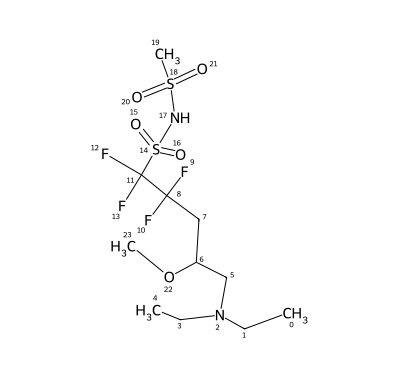 CCN(CC)CC(CC(F)(F)C(F)(F)S(=O)(=O)NS(C)(=O)=O)OC